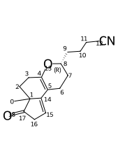 CC12CCC3=C(CC[C@@H](CCCC#N)O3)C1=CCC2=O